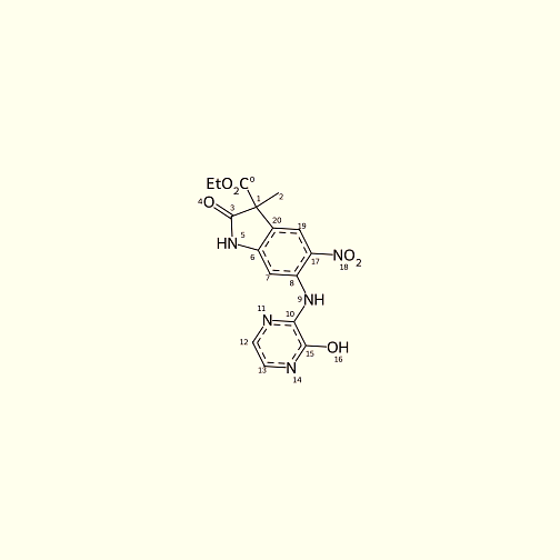 CCOC(=O)C1(C)C(=O)Nc2cc(Nc3nccnc3O)c([N+](=O)[O-])cc21